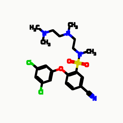 CN(C)CCN(C)CCN(C)S(=O)(=O)c1cc(C#N)ccc1Oc1cc(Cl)cc(Cl)c1